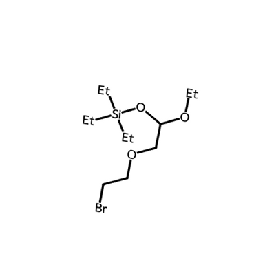 CCOC(COCCBr)O[Si](CC)(CC)CC